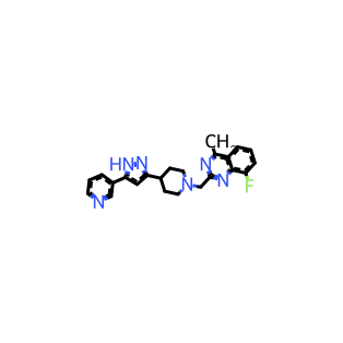 Cc1nc(CN2CCC(c3cc(-c4cccnc4)[nH]n3)CC2)nc2c(F)cccc12